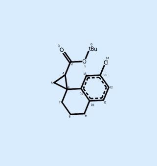 CC(C)(C)OC(=O)C1CC12CCCc1ccc(Cl)cc12